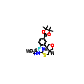 CC1(C)OB(c2ccc(F)c([C@@]34COC[C@@H]3CSC(NC(=O)O)=N4)c2)OC1(C)C